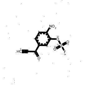 C#CC(=O)c1ccc([N+](=O)[O-])c(OS(=O)(=O)F)c1